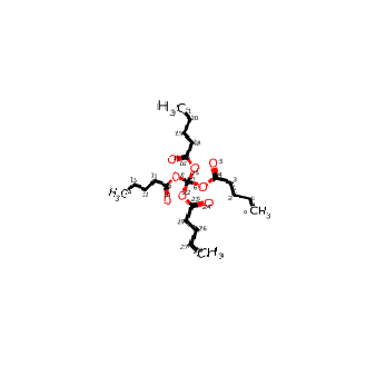 CCCCC(=O)OC(OC(=O)CCCC)(OC(=O)CCCC)OC(=O)CCCC